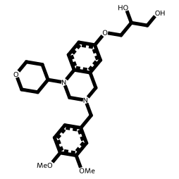 COc1ccc(CN2Cc3cc(OCC(O)CO)ccc3N(C3CCOCC3)C2)cc1OC